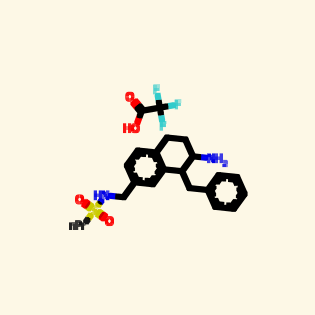 CCCS(=O)(=O)NCc1ccc2c(c1)C(Cc1ccccc1)C(N)CC2.O=C(O)C(F)(F)F